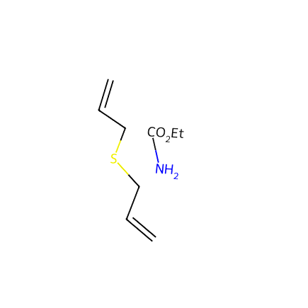 C=CCSCC=C.CCOC(N)=O